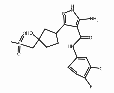 CS(=O)(=O)CC1(O)CCC(c2n[nH]c(N)c2C(=O)Nc2ccc(F)c(Cl)c2)C1